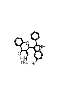 CC(C)(C)NC=C1C(=O)c2ccccc2OC1c1c(-c2ccccc2)[nH]c2ccc(Br)cc12